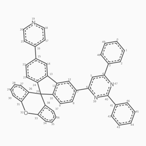 c1ccc(-c2cc(-c3ccc4c(c3)-c3cc(-c5ccncc5)ccc3C43c4ccccc4Oc4ccccc43)nc(-c3ccccc3)n2)cc1